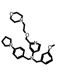 COc1cccc(CN(Cc2ccc(N3CCCC3)cc2)c2ccnc(COCCN3CCOCC3)c2)c1